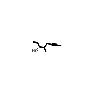 C=C[C@@H](O)C(C)CC#CC